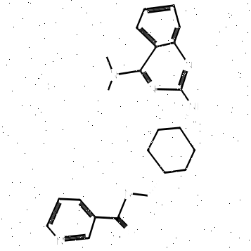 CN(C)c1nc(N[C@H]2CC[C@@H](CNC(=O)c3cccnc3)CC2)nc2ccccc12